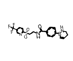 O=C(NCCS(=O)(=O)c1ccc(C(F)(F)F)cn1)c1ccc(B2C=CCCN2)cc1